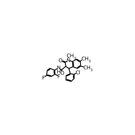 Cc1cc2c(cc1C)N(C)C(=O)C(C(=O)Nc1ccc(F)cc1F)C2c1ccccc1Cl